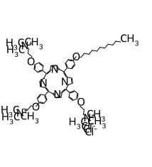 CCCCCCCCCCCCOc1ccc(C2=C3C=CC(=N3)C(c3ccc(OCCC[N+](C)(C)C)cc3)=C3C=CC(=N3)C(c3ccc(OCCC[N+](C)(C)C)cc3)=C3C=CC(=N3)C(c3ccc(OCCC[N+](C)(C)C)cc3)=C3C=CC2=N3)cc1.[Cl-].[Cl-].[Cl-]